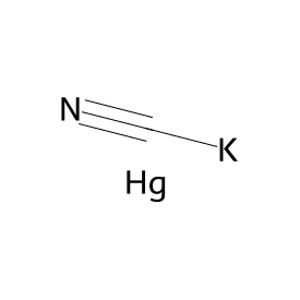 N#[C][K].[Hg]